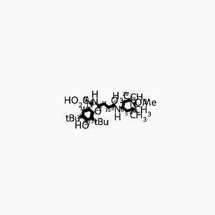 CON1C(C)(C)CC(NC(=O)CCC(=O)NN(C(=O)O)c2cc(C(C)(C)C)c(O)c(C(C)(C)C)c2)CC1(C)C